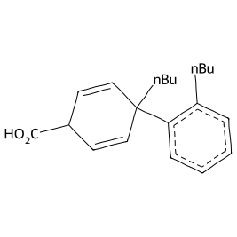 CCCCc1ccccc1C1(CCCC)C=CC(C(=O)O)C=C1